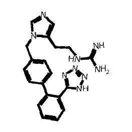 N=C(N)NCCc1cncn1Cc1ccc(-c2ccccc2-c2nnn[nH]2)cc1